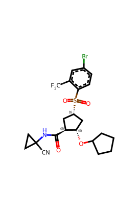 N#CC1(NC(=O)[C@H]2C[C@H](S(=O)(=O)c3ccc(Br)cc3C(F)(F)F)C[C@@H]2OC2CCCC2)CC1